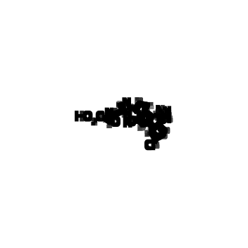 O=C(O)c1coc(-c2cnc([C@@H]3CCc4cc(-c5cc(Cl)ccc5-n5cnnn5)cc(=O)n43)[nH]2)n1